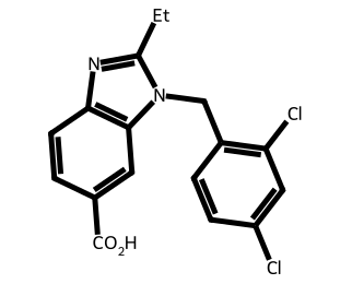 CCc1nc2ccc(C(=O)O)cc2n1Cc1ccc(Cl)cc1Cl